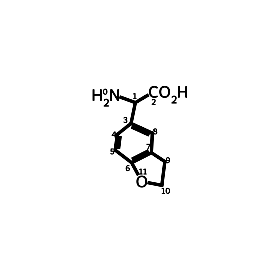 NC(C(=O)O)c1ccc2c(c1)CCO2